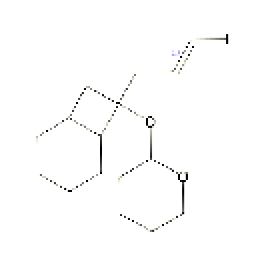 I/C=C/CC1(OC2CCCCO2)CC2CCCCC21